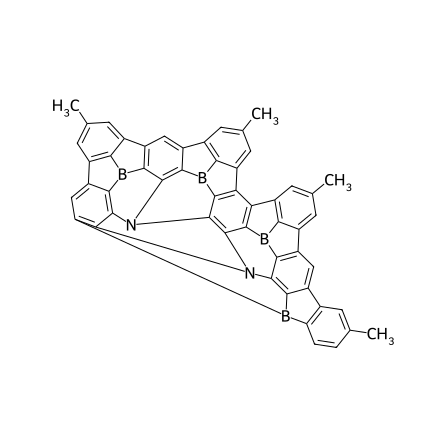 Cc1ccc2c(c1)-c1cc3c4c5c1B2c1cc2c6c7c1N5c1c5c(c8c9c1N7c1c7c(cc%10c1B9c1c-%10cc(C)cc1-8)-c1cc(C)cc-2c1B76)-c1cc(C)cc-3c1B45